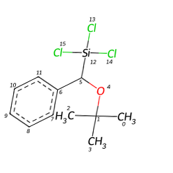 CC(C)(C)OC(c1ccccc1)[Si](Cl)(Cl)Cl